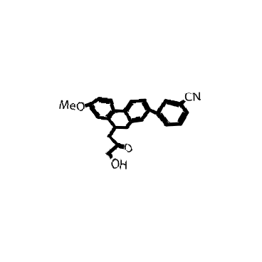 COc1ccc2c(c1)C(CC(=O)CO)Cc1cc(-c3cccc(C#N)c3)ccc1-2